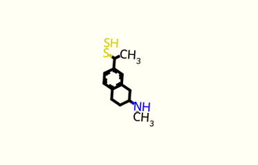 CNC1CCc2ccc(C(C)SS)cc2C1